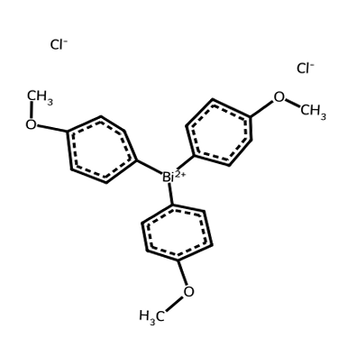 COc1cc[c]([Bi+2]([c]2ccc(OC)cc2)[c]2ccc(OC)cc2)cc1.[Cl-].[Cl-]